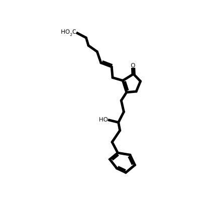 O=C(O)CCC/C=C/CC1=C(CCC(O)CCc2ccccc2)CCC1=O